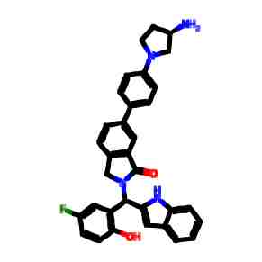 N[C@@H]1CCN(c2ccc(-c3ccc4c(c3)C(=O)N(C(c3cc5ccccc5[nH]3)c3cc(F)ccc3O)C4)cc2)C1